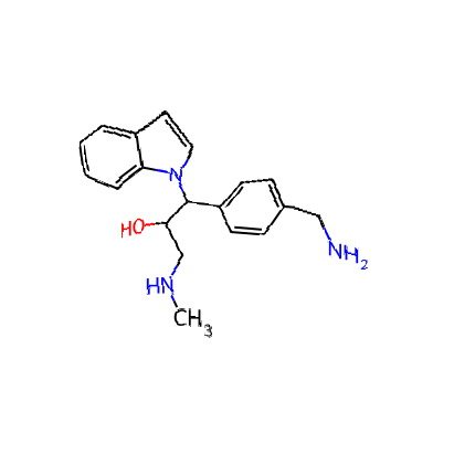 CNCC(O)C(c1ccc(CN)cc1)n1ccc2ccccc21